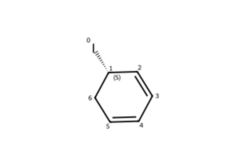 I[C@@H]1C=CC=CC1